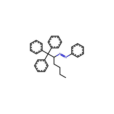 CCCCC(N=Nc1ccccc1)C(c1ccccc1)(c1ccccc1)c1ccccc1